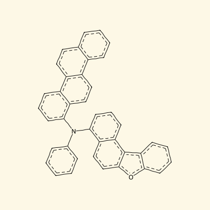 c1ccc(N(c2cccc3c2ccc2c4ccccc4ccc32)c2cccc3c2ccc2oc4ccccc4c23)cc1